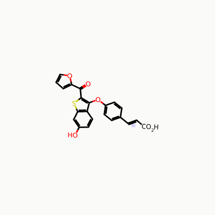 O=C(O)/C=C/c1ccc(Oc2c(C(=O)c3ccco3)sc3cc(O)ccc23)cc1